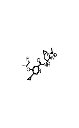 Cc1nc([C@@](C)(CC2CC2)NC(=O)c2cc(O[C@H](C)CF)c(C3CC3)cn2)no1